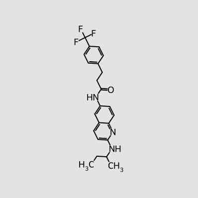 CCC(C)Nc1ccc2cc(NC(=O)CCc3ccc(C(F)(F)F)cc3)ccc2n1